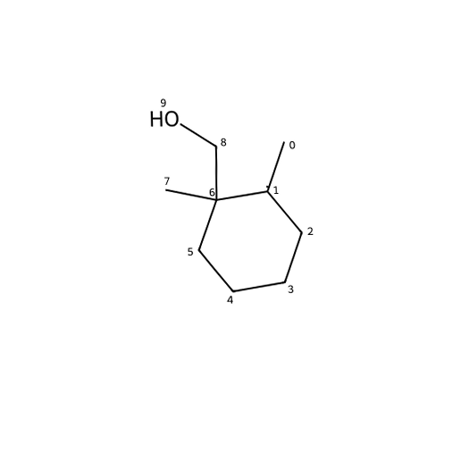 C[C]1CCCCC1(C)CO